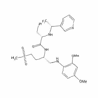 COc1ccc(NC[C@H](CCS(C)(=O)=O)NC(=O)[C@H](CC(C)C)N[C@@H](c2cccnc2)C(F)(F)F)c(OC)c1